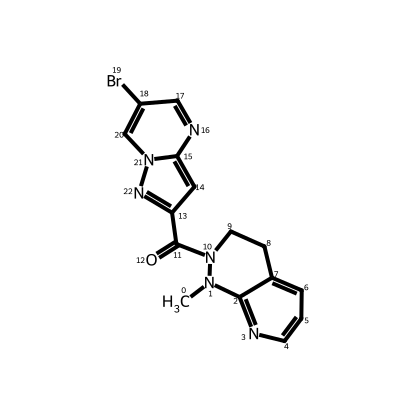 CN1c2ncccc2CCN1C(=O)c1cc2ncc(Br)cn2n1